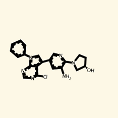 Nc1cc(-c2cn(-c3ccccc3)c3ncnc(Cl)c23)cnc1N1CC[C@@H](O)C1